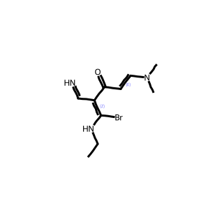 CCN/C(Br)=C(\C=N)C(=O)/C=C/N(C)C